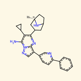 Nc1c(C2CC2)c(C2CC3CC[C@H](C2)N3)nc2c(-c3ccc(-c4ccccc4)nc3)cnn12